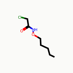 CCCCCONC(=O)CCl